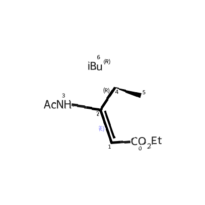 CCOC(=O)/C=C(/NC(C)=O)[C@H](C)[C@H](C)CC